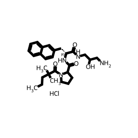 CCCC(C)(C)C(=O)N1CCCC1C(=O)N[C@H](Cc1ccc2ccccc2c1)C(=O)NCC(O)CN.Cl